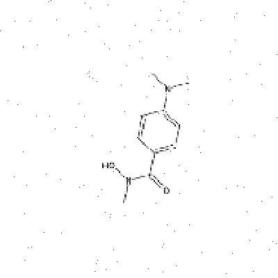 CN(O)C(=O)c1ccc(N(C)C)cc1